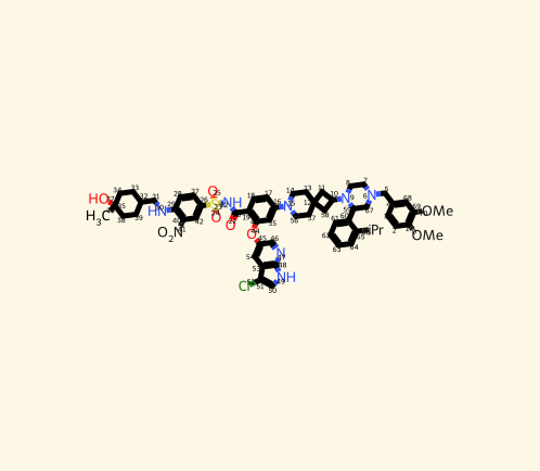 COc1ccc(CN2CCN(C3CC4(CCN(c5ccc(C(=O)NS(=O)(=O)c6ccc(NCC7CCC(C)(O)CC7)c([N+](=O)[O-])c6)c(Oc6cnc7[nH]cc(Cl)c7c6)c5)CC4)C3)C(c3ccccc3C(C)C)C2)cc1OC